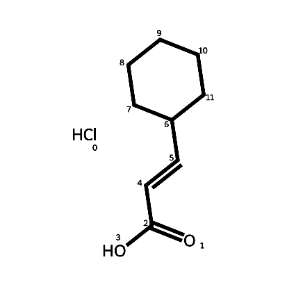 Cl.O=C(O)C=CC1CCCCC1